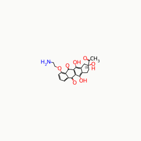 CC(=O)[C@]1(O)CCc2c(O)c3c(c(O)c2C1)C(=O)c1c(OCCN)cccc1C3=O